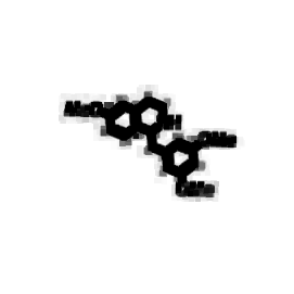 COc1cc(CC2NCCc3cc(OC)ccc32)cc(OC)c1